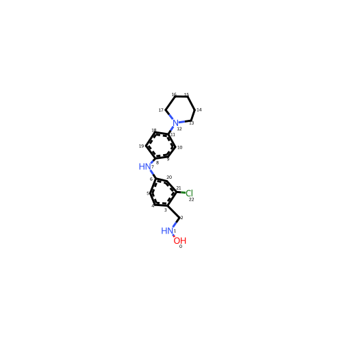 ONCc1ccc(Nc2ccc(N3CCCCC3)cc2)cc1Cl